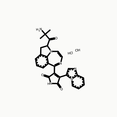 CC(C)(N)C(=O)C1Cc2cccc3c2N1C=CN=C3C1=C(c2cnc3ccccn23)C(=O)NC1=O.Cl.Cl